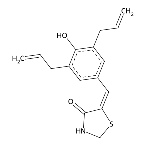 C=CCc1cc(C=C2SCNC2=O)cc(CC=C)c1O